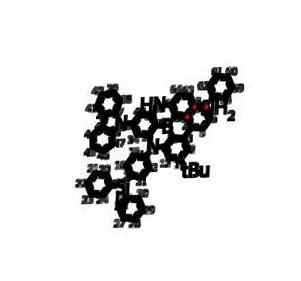 CC(C)(C)c1cc(-c2ccccc2)c2c(c1)N(c1ccc([SiH](c3ccccc3)c3ccccc3)cc1)c1cc(-n3c4ccccc4c4ccccc43)cc3c1B2c1cc([SiH2]c2ccccc2)ccc1N3